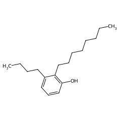 CCCCCCCCc1c(O)cccc1CCCC